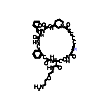 NCCOCCNC(=O)[C@@H]1CCNC(=O)/C=C\CCCCC(=O)N2CCC[C@H](CC(=O)N[C@@H](Cc3ccco3)C(=O)NCc3ccccc3CC(=O)N1)C2